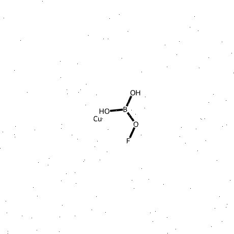 OB(O)OF.[Cu]